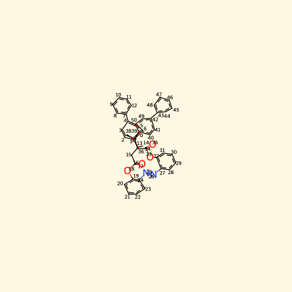 C=C(/C=C\C(=C/C)c1ccccc1)C(C)CC(=O)Oc1ccccc1N=Nc1ccccc1OC(=O)C[C@@H](C)c1ccc(-c2ccccc2)cc1